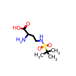 CC(C)(C)S(=O)(=O)NCCC(N)C(=O)O